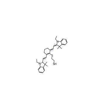 CCN1/C(=C/C=C2\CCCC(/C=C/C3=[N+](CC)c4ccccc4C3(C)C)=C2SCCS)C(C)(C)c2ccccc21